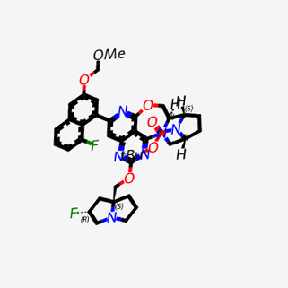 COCOc1cc(-c2cc3nc(OC[C@@]45CCCN4C[C@H](F)C5)nc4c3c(n2)OC[C@H]2[C@@H]3CC[C@H](CN42)N3C(=O)OC(C)(C)C)c2c(F)cccc2c1